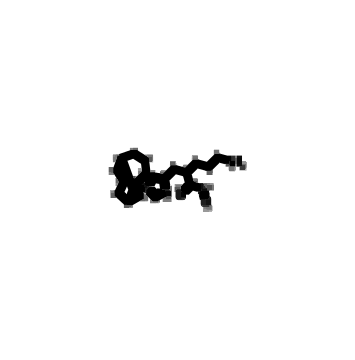 NCCCC(Cc1cn(C2C3CCCC4CC2CC4C3)cn1)C(=O)N=O